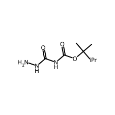 CC(C)C(C)(C)OC(=O)NC(=O)NN